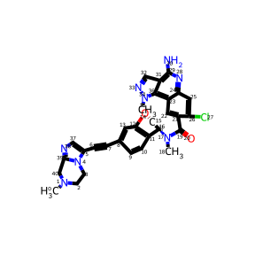 CN1CCn2c(C#Cc3ccc4c(c3)OC[C@H]4N(C)C(=O)c3cc4c(cc3Cl)nc(N)c3cnn(C)c34)cnc2C1